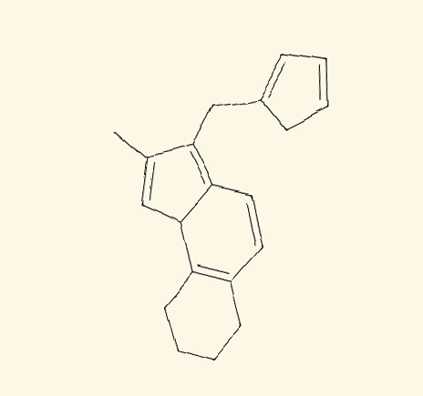 CC1=CC2C(=C1CC1=CC=CC1)C=CC1=C2CCCC1